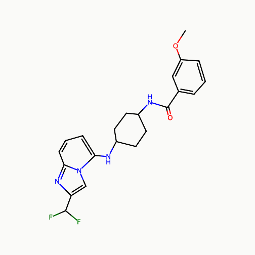 COc1cccc(C(=O)NC2CCC(Nc3cccc4nc(C(F)F)cn34)CC2)c1